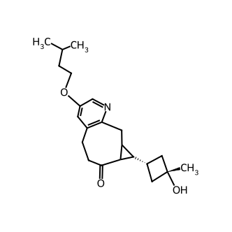 CC(C)CCOc1cnc2c(c1)CCC(=O)C1C(C2)C1[C@H]1C[C@@](C)(O)C1